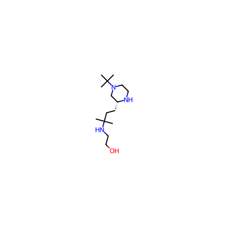 CC(C)(CC[C@@H]1CN(C(C)(C)C)CCN1)NCCO